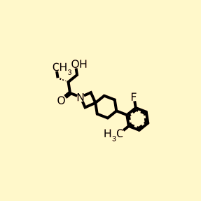 CC[C@H](CO)C(=O)N1CC2(CCC(c3c(C)cccc3F)CC2)C1